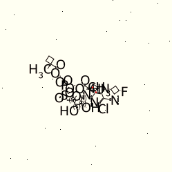 CC1(C(=O)OCOP(=O)(CS(=O)(=O)C[C@H]2O[C@@H](n3ccc4c(N[C@H]5C[C@@H](F)C5)c(C#N)c(Cl)nc43)[C@H](O)[C@@H]2O)OCOC(=O)C2(C)CCC2)CCC1